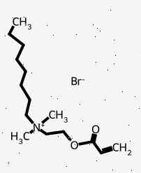 C=CC(=O)OCC[N+](C)(C)CCCCCCCC.[Br-]